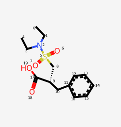 CCN(CC)S(=O)(=O)C[C@H](Cc1ccccc1)C(=O)O